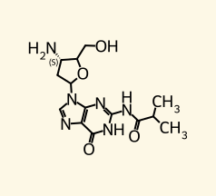 CC(C)C(=O)Nc1nc2c(ncn2C2C[C@H](N)C(CO)O2)c(=O)[nH]1